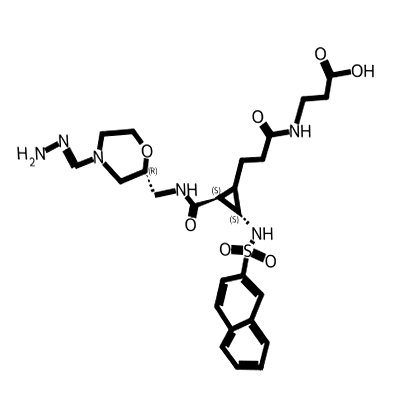 NN=CN1CCO[C@H](CNC(=O)[C@H]2C(CCC(=O)NCCC(=O)O)[C@@H]2NS(=O)(=O)c2ccc3ccccc3c2)C1